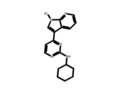 CC(=O)n1cc(-c2ccnc(NC3CCCCC3)n2)c2cccnc21